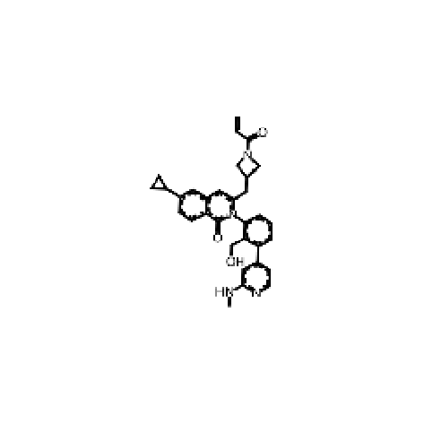 C=CC(=O)N1CC(Cc2cc3cc(C4CC4)ccc3c(=O)n2-c2cccc(-c3ccnc(NC)c3)c2CO)C1